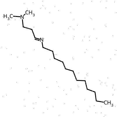 CCCCCCCCCCCCN=CCCN(C)C